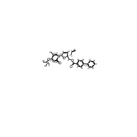 C=CC[C@@]1(COC(=O)c2ccc(-c3ccccc3)cc2)C=C[C@H](n2cc(C)c(O[Si](C)(C)C)nc2=O)O1